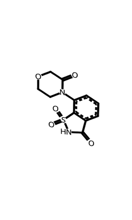 O=C1NS(=O)(=O)c2c1cccc2N1CCOCC1=O